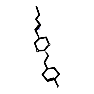 CCC/C=C/[C@H]1CO[C@H](CCC2CC=C(F)CC2)OC1